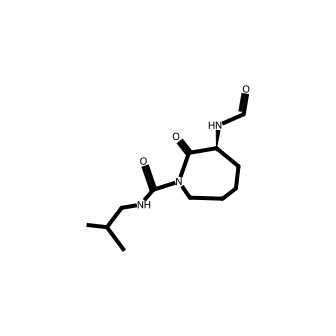 CC(C)CNC(=O)N1CCCC[C@H](NC=O)C1=O